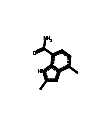 Cc1cc2c(C)ccc(C(N)=O)c2[nH]1